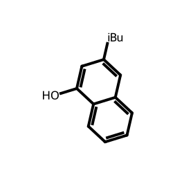 CCC(C)c1cc(O)c2ccccc2c1